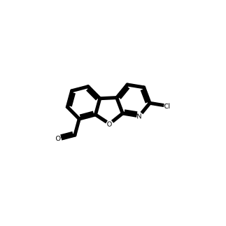 O=Cc1cccc2c1oc1nc(Cl)ccc12